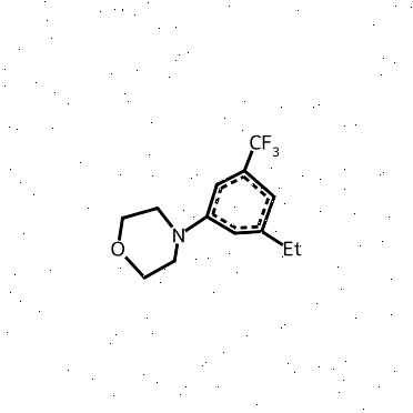 CCc1cc(N2CCOCC2)cc(C(F)(F)F)c1